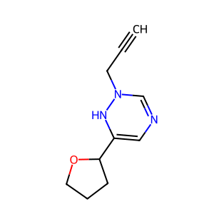 C#CCN1C=NC=C(C2CCCO2)N1